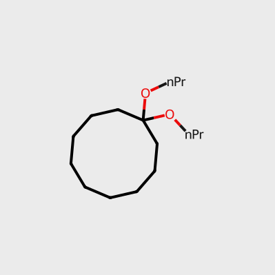 CCCOC1(OCCC)CCCCCCCCC1